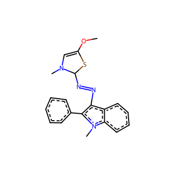 COC1=CN(C)C(N=Nc2c(-c3ccccc3)n(C)c3ccccc23)S1